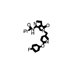 CC(C)C(=O)Nc1nccc2c1CN(Cc1ccc(Oc3ccc(F)cc3)nc1)C2=O